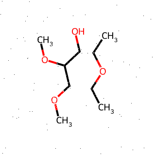 CCOCC.COCC(CO)OC